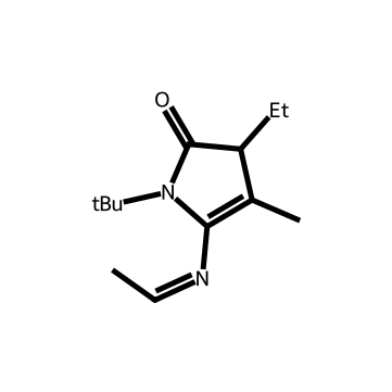 C/C=N\C1=C(C)C(CC)C(=O)N1C(C)(C)C